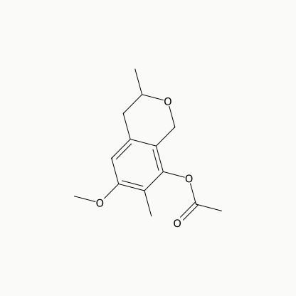 COc1cc2c(c(OC(C)=O)c1C)COC(C)C2